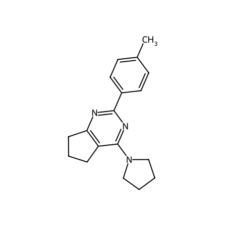 Cc1ccc(-c2nc3c(c(N4CCCC4)n2)CCC3)cc1